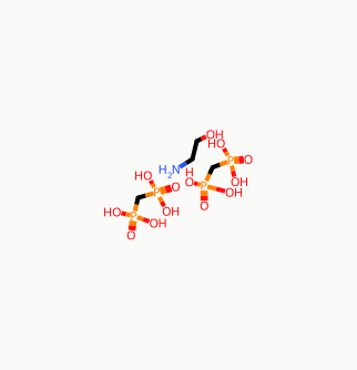 NCCO.O=P(O)(O)CP(=O)(O)O.O=P(O)(O)CP(=O)(O)O